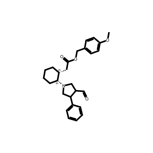 COc1ccc(COC(=O)C[C@H]2CCCC[C@H]2N2CC(C=O)C(c3ccccc3)C2)cc1